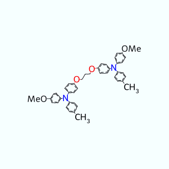 COc1ccc(N(c2ccc(C)cc2)c2ccc(OCCCOc3ccc(N(c4ccc(C)cc4)c4ccc(OC)cc4)cc3)cc2)cc1